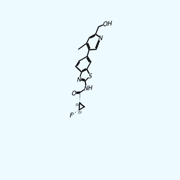 Cc1cc(CO)ncc1-c1ccc2nc(NC(=O)[C@@H]3C[C@@H]3F)sc2c1